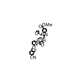 COC(=O)c1ccc2nc(CN3CCN(c4cccc(OCc5ccc(C#N)cc5F)n4)[C@H]4COC[C@H]43)n(C[C@@H]3CCO3)c2c1